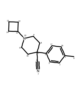 Cc1ccc(C2(C#N)CCN(C3CCC3)CC2)cc1